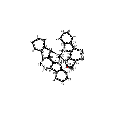 c1ccc2c(c1)c1nnc3c4ccccc4n4c3c1n2[Si]41n2c3ccccc3c3nnc4c5ccccc5n1c4c32